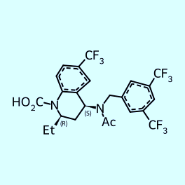 CC[C@@H]1C[C@H](N(Cc2cc(C(F)(F)F)cc(C(F)(F)F)c2)C(C)=O)c2cc(C(F)(F)F)ccc2N1C(=O)O